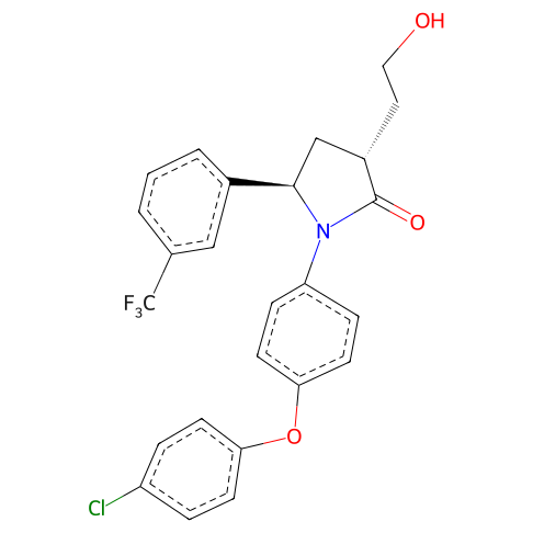 O=C1[C@@H](CCO)C[C@H](c2cccc(C(F)(F)F)c2)N1c1ccc(Oc2ccc(Cl)cc2)cc1